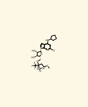 COCCC(OC[C@H]1O[C@@H](n2ccc3c(NC4CCCC4)cc(Cl)nc32)[C@H](O)[C@@H]1O)(C(F)(F)F)P(=O)(O)O